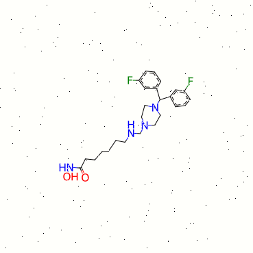 O=C(CCCCCCNCN1CCN(C(c2cccc(F)c2)c2cccc(F)c2)CC1)NO